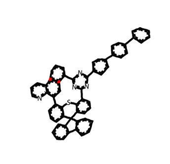 c1ccc(-c2ccc(-c3ccc(-c4nc(-c5ccccc5)nc(-c5cccc6c5Sc5c(-c7cccc8cccnc78)cccc5C65c6ccccc6-c6ccccc65)n4)cc3)cc2)cc1